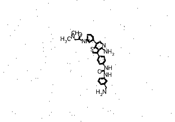 CN(C)CC(=O)Nc1cccc(-c2cnc(N)c3c(-c4ccc(NC(=O)Nc5cccc(CN)c5)cc4)csc23)c1